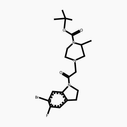 CC1CN(CC(=O)N2CCc3cc(F)c(Br)cc32)CCN1C(=O)OC(C)(C)C